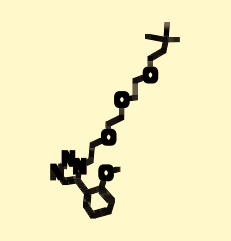 COc1ccccc1-c1cnnn1CCOCCOCCOCCC(C)(C)C